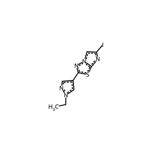 CCn1cc(-c2nn3cc(I)nc3s2)cn1